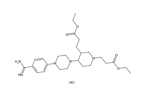 CCOC(=O)CCC1CN(CCC(=O)OCC)CCC1N1CCN(c2ccc(C(=N)N)cc2)CC1.Cl